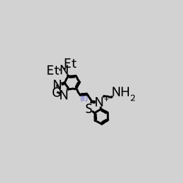 CCN(CC)c1ccc(/C=C/c2sc3ccccc3[n+]2CCN)c2nonc12